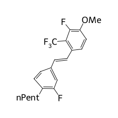 CCCCCc1ccc(/C=C/c2ccc(OC)c(F)c2C(F)(F)F)cc1F